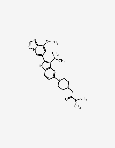 COc1cc(-c2[nH]c3ccc(N4CCN(CC(=O)N(C)C)CC4)nc3c2C(C)C)cn2ncnc12